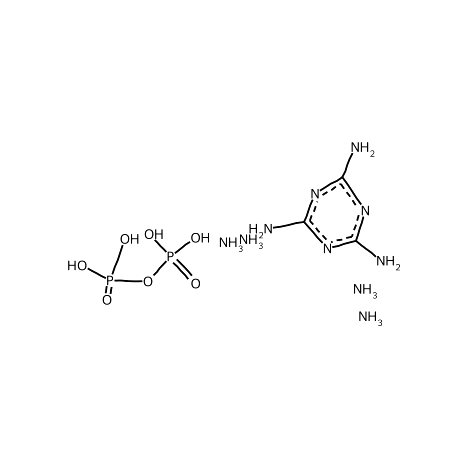 N.N.N.N.Nc1nc(N)nc(N)n1.O=P(O)(O)OP(=O)(O)O